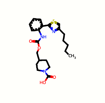 CCCCCc1csc(-c2ccccc2NC(=O)OCC2CCN(C(=O)O)CC2)n1